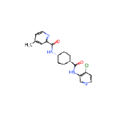 Cc1ccnc(C(=O)N[C@H]2CC[C@H](C(=O)Nc3cnccc3Cl)CC2)c1